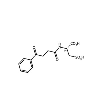 O=C(CCC(=O)c1ccccc1)N[C@@H](CS(=O)(=O)O)C(=O)O